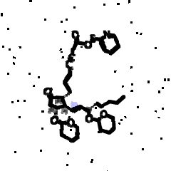 CCCCC[C@@H](/C=C/[C@H]1[C@H](OC2CCCCO2)CC(=O)[C@@H]1CCCCCCC(=O)OSc1ccccn1)OC1CCCCO1